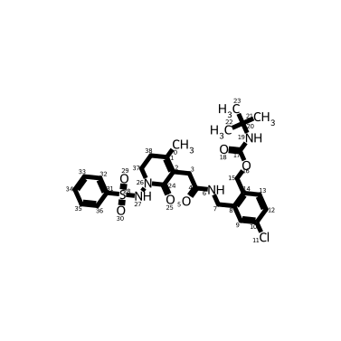 CC1=C(CC(=O)NCc2cc(Cl)ccc2COC(=O)NC(C)(C)C)C(=O)N(NS(=O)(=O)c2ccccc2)CC1